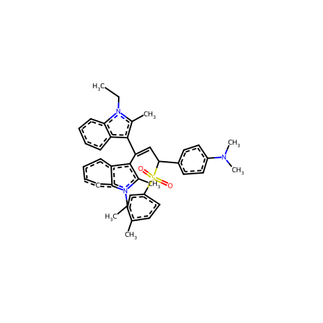 CCn1c(C)c(C(=CC(c2ccc(N(C)C)cc2)S(=O)(=O)c2ccc(C)cc2)c2c(C)n(CC)c3ccccc23)c2ccccc21